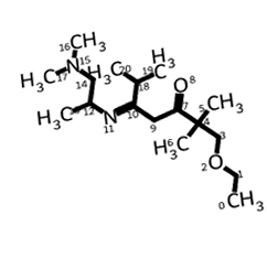 CCOCC(C)(C)C(=O)C/C(=N/C(C)CN(C)C)C(C)C